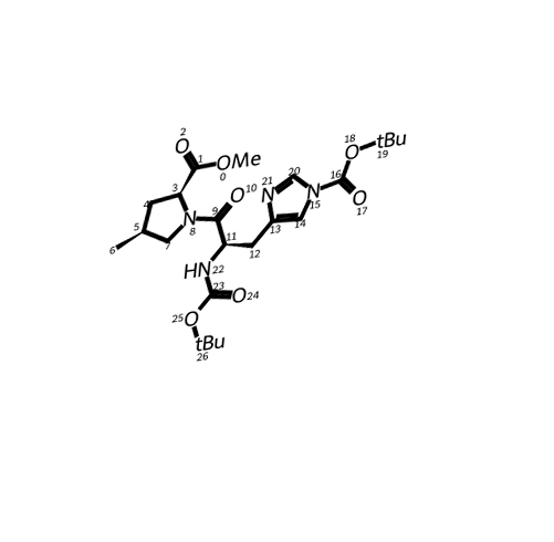 COC(=O)[C@@H]1C[C@H](C)CN1C(=O)[C@@H](Cc1cn(C(=O)OC(C)(C)C)cn1)NC(=O)OC(C)(C)C